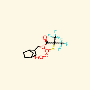 O=C(OCC1CC2CCC1C2)C(SOOO)(C(F)(F)F)C(F)(F)F